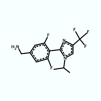 CC(C)n1cc(C(F)(F)F)nc1-c1c(F)cc(CN)cc1F